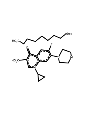 CCCCCCCCCCCCCCCCCC(=O)O.O=C(O)c1cn(C2CC2)c2cc(N3CCNCC3)c(F)cc2c1=O